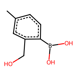 Cc1ccc(B(O)O)c(CO)c1